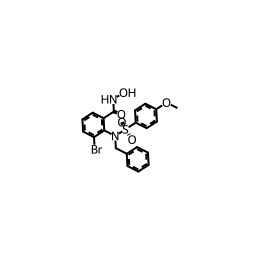 COc1ccc(S(=O)(=O)N(Cc2ccccc2)c2c(Br)cccc2C(=O)NO)cc1